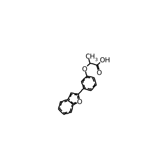 CC(Oc1cccc(-c2cc3ccccc3o2)c1)C(=O)O